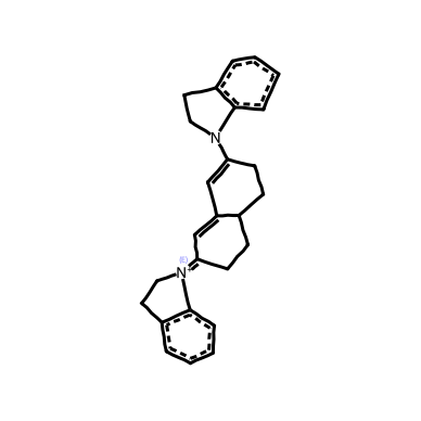 C1=C2C=C(N3CCc4ccccc43)CCC2CC/C1=[N+]1/CCc2ccccc21